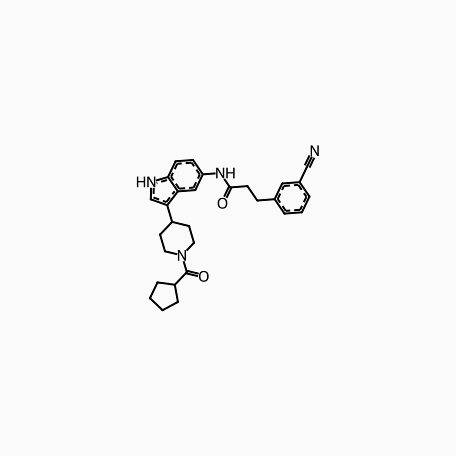 N#Cc1cccc(CCC(=O)Nc2ccc3[nH]cc(C4CCN(C(=O)C5CCCC5)CC4)c3c2)c1